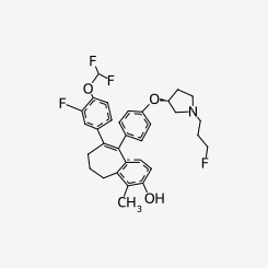 Cc1c(O)ccc2c1CCCC(c1ccc(OC(F)F)c(F)c1)=C2c1ccc(O[C@H]2CCN(CCCF)C2)cc1